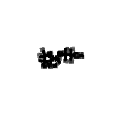 CCCCCC1(C)OB(B(C)OC(C)(C)C(C)(C)O)OC1(C)C